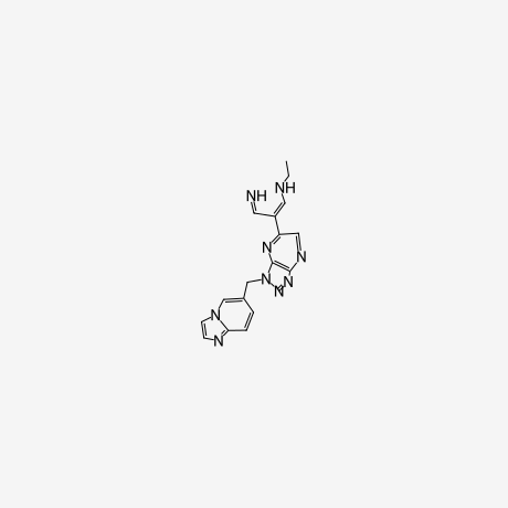 CCN/C=C(\C=N)c1cnc2nnn(Cc3ccc4nccn4c3)c2n1